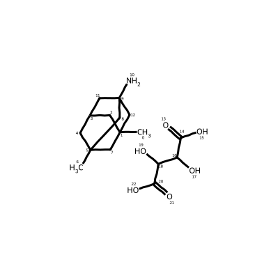 CC12CC3CC(C)(C1)CC(N)(C3)C2.O=C(O)C(O)C(O)C(=O)O